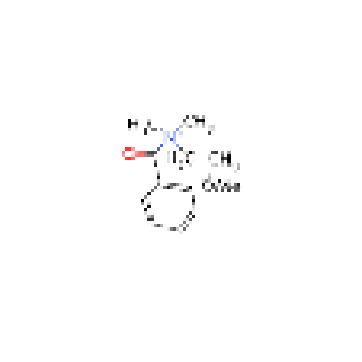 COC.C[N+](C)(C)C(=O)c1ccccc1